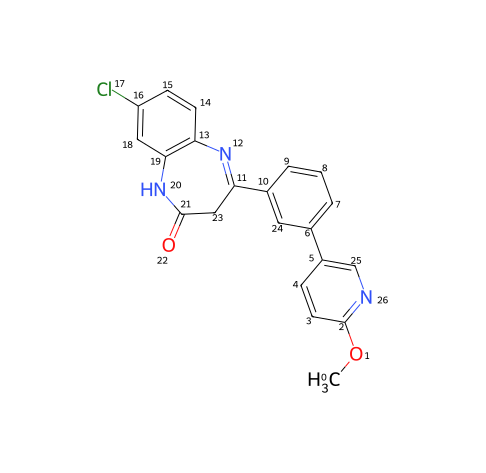 COc1ccc(-c2cccc(C3=Nc4ccc(Cl)cc4NC(=O)C3)c2)cn1